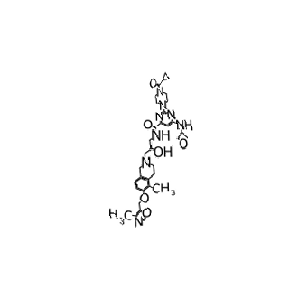 Cc1ncoc1COc1ccc2c(c1C)CCN(CC(O)CNC(=O)c1cc(NC3COC3)nc(N3CCN(C(=O)C4CC4)CC3)n1)C2